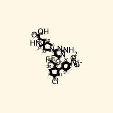 Nc1nc(O[C@H](c2ccc(Cl)cc2-c2ccc([N+](=O)[O-])cc2)C(F)(F)F)cc(N2CCC3(CC2)CNC(C(=O)O)C3)n1